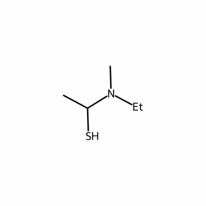 CCN(C)C(C)S